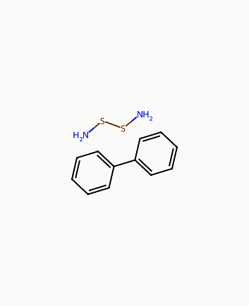 NSSN.c1ccc(-c2ccccc2)cc1